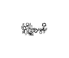 C[C@@H](OC(=O)Nc1c(-c2ccc(NC(=O)[C@H]3[C@H](c4ccccc4)C3(F)F)cn2)nnn1C)c1cc(F)cnc1F